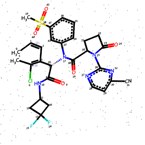 C/C=C\C(=C(/C)Cl)[C@@H](C(=O)NC1CC(F)(F)C1)N(C(=O)C1CCC(=O)N1c1nccc(C#N)n1)c1cccc(S(C)(=O)=O)c1